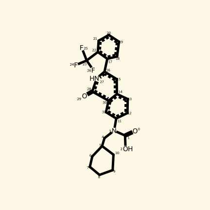 O=C(O)N(CC1CCCCC1)c1ccc2cc(-c3ccccc3C(F)(F)F)[nH]c(=O)c2c1